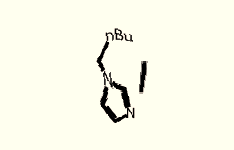 CC.CCCCCn1ccnc1